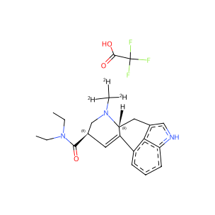 O=C(O)C(F)(F)F.[2H]C([2H])([2H])N1C[C@H](C(=O)N(CC)CC)C=C2c3cccc4[nH]cc(c34)C[C@H]21